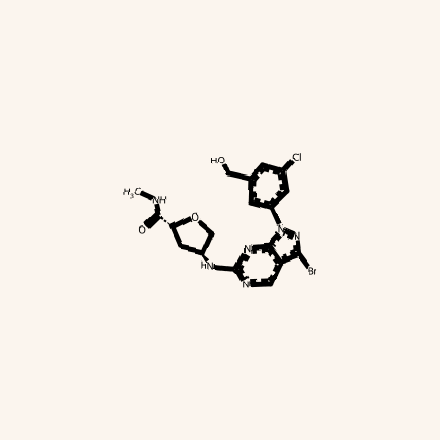 CNC(=O)[C@H]1C[C@H](Nc2ncc3c(Br)nn(-c4cc(Cl)cc(CO)c4)c3n2)CO1